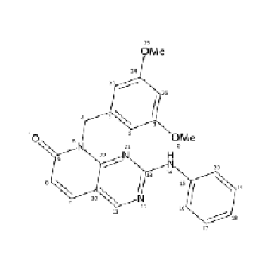 COc1cc(Cn2c(=O)ccc3cnc(Nc4ccccc4)nc32)cc(OC)c1